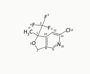 CC1(C(F)(F)F)OCc2cnc(Cl)cc21